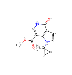 COC(=O)c1c[nH]c(=O)c2ccn(C3(C)CC3)c12